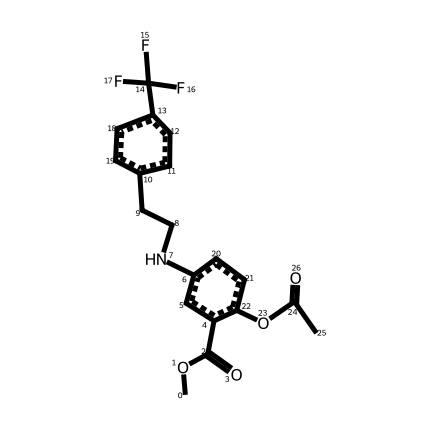 COC(=O)c1cc(NCCc2ccc(C(F)(F)F)cc2)ccc1OC(C)=O